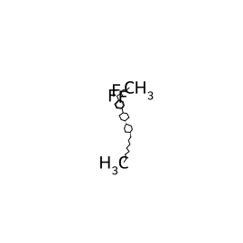 CCCCCCCC[C@H]1CC[C@H](C2CCC(c3ccc(C(F)C(F)(F)CCC)cc3)CC2)CC1